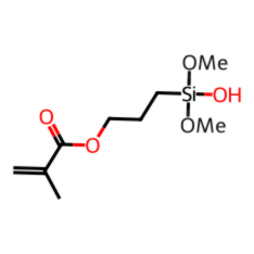 C=C(C)C(=O)OCCC[Si](O)(OC)OC